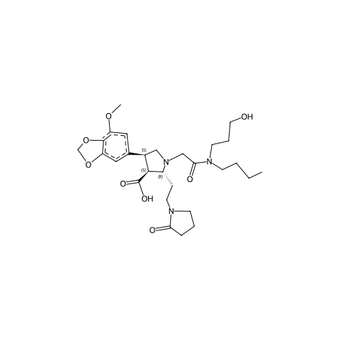 CCCCN(CCCO)C(=O)CN1C[C@H](c2cc(OC)c3c(c2)OCO3)[C@H](C(=O)O)[C@H]1CCN1CCCC1=O